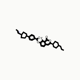 C/C=C/C1CCC(c2ccc(C(=O)Oc3ccc4cc(C5CCC(CCC)CC5)oc(=O)c4c3F)cc2)CC1